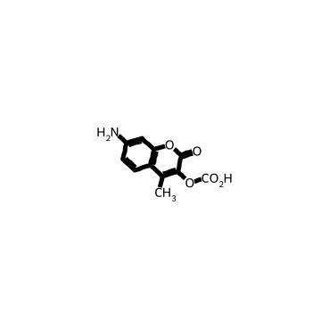 Cc1c(OC(=O)O)c(=O)oc2cc(N)ccc12